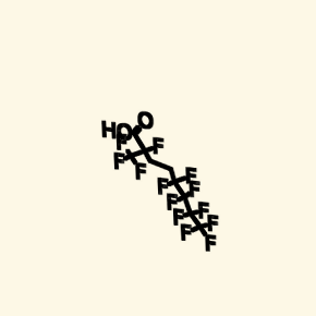 O=C(O)C(F)(CCC(F)(F)C(F)(F)C(F)(F)C(F)(F)F)C(F)(F)F